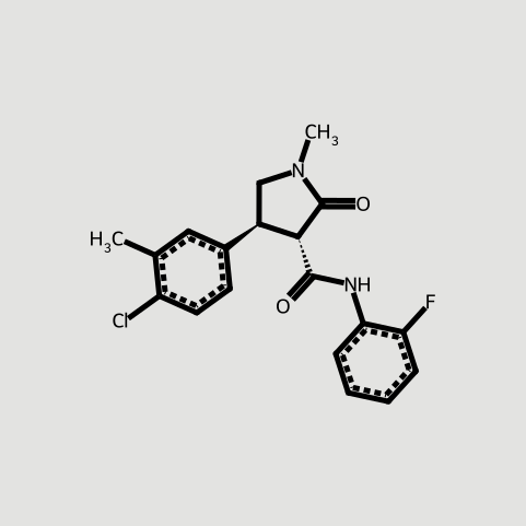 Cc1cc([C@H]2CN(C)C(=O)[C@@H]2C(=O)Nc2ccccc2F)ccc1Cl